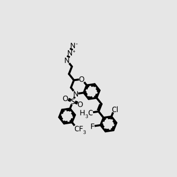 CC(=Cc1ccc2c(c1)N(S(=O)(=O)c1cccc(C(F)(F)F)c1)CC(CCN=[N+]=[N-])O2)c1c(F)cccc1Cl